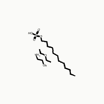 CCCCCCCCCCCCOS(=O)(=O)O.CCOCC.NCCO